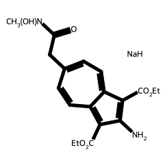 CCOC(=O)c1c2ccc(CC(=O)N(C)O)ccc-2c(C(=O)OCC)c1N.[NaH]